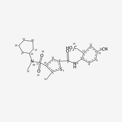 Cc1sc(C(=O)Nc2ccc(C#N)cc2C(=O)O)cc1S(=O)(=O)N(C)C1CCCCC1